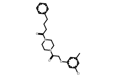 Cc1cc(Cl)cc(OCC(=O)N2CCN(C(=O)CCCc3ccccc3)CC2)c1